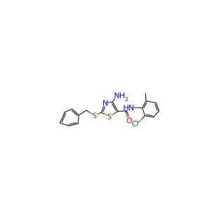 Cc1cccc(Cl)c1NC(=O)c1sc(SCc2ccccc2)nc1N